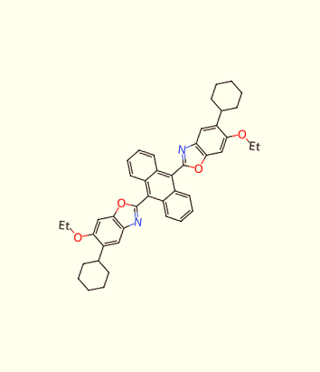 CCOc1cc2oc(-c3c4ccccc4c(-c4nc5cc(C6CCCCC6)c(OCC)cc5o4)c4ccccc34)nc2cc1C1CCCCC1